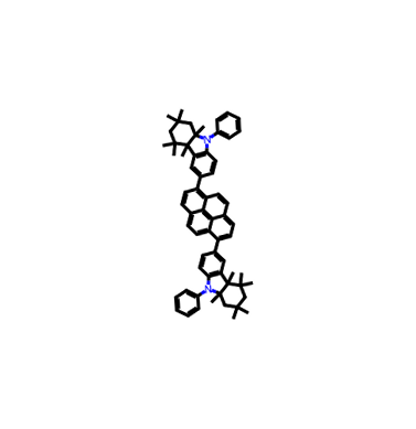 CC1(C)CC(C)(C)C2(C)c3cc(-c4ccc5ccc6c(-c7ccc8c(c7)C7(C)C(C)(C)CC(C)(C)CC7(C)N8c7ccccc7)ccc7ccc4c5c76)ccc3N(c3ccccc3)C2(C)C1